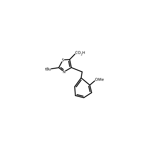 COc1ccccc1Cc1nc(C(C)(C)C)sc1C(=O)O